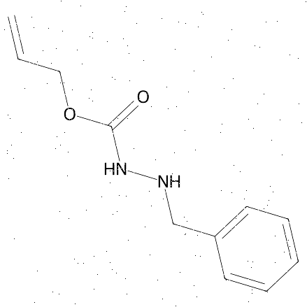 C=CCOC(=O)NNCc1ccccc1